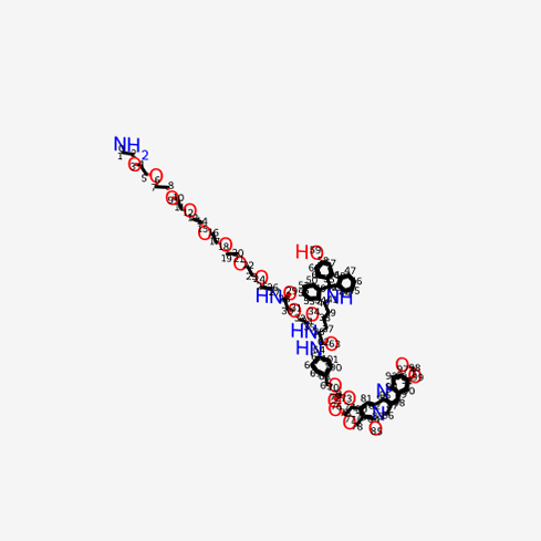 NCCOCCOCCOCCOCCOCCOCCOCCOCCNC(=O)COCC(=O)N[C@@H](CCCCNC(c1ccccc1)(c1ccccc1)c1ccc(O)cc1)C(=O)Nc1ccc(COC(=O)O[C@@H]2C(=O)OCc3c2cc2n(c3=O)Cc3cc4cc5c(cc4nc3-2)OCO5)cc1